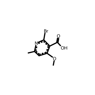 COc1cc(C)nc(Br)c1C(=O)O